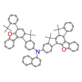 CC(C)(C)c1ccccc1-c1cc2c(c3c1oc1ccccc13)-c1ccc(N(c3ccc4c(c3)C(C)(C)c3c5c(c6c(oc7ccccc76)c3-4)-c3ccccc3C5(C)C)c3cccc4ccccc34)cc1C2(C)C